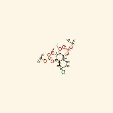 COc1c(OC)c(OC(=O)OC(C)C)c2cc(Cl)ccc2c1OC(=O)OC(C)C